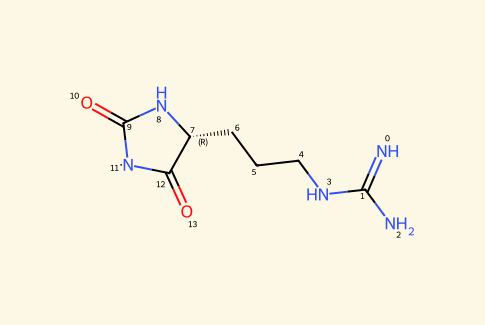 N=C(N)NCCC[C@H]1NC(=O)[N]C1=O